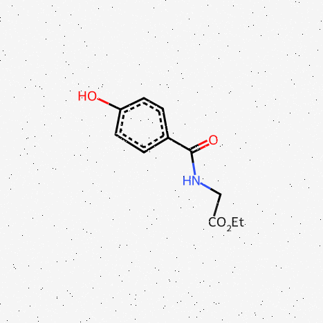 CCOC(=O)CNC(=O)c1ccc(O)cc1